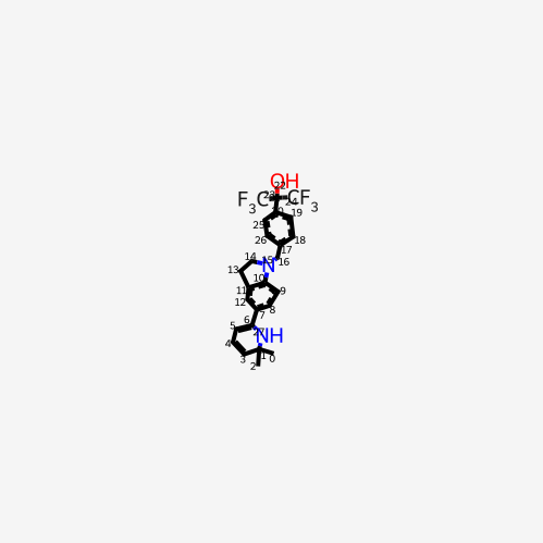 CC1(C)C=CC=C(c2ccc3c(c2)CCN3Cc2ccc(C(O)(C(F)(F)F)C(F)(F)F)cc2)N1